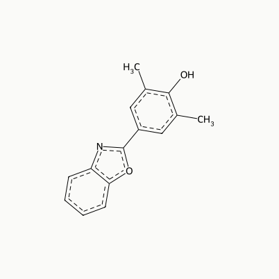 Cc1cc(-c2nc3ccccc3o2)cc(C)c1O